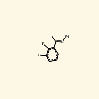 C/C(=N\S)c1cccc(F)c1F